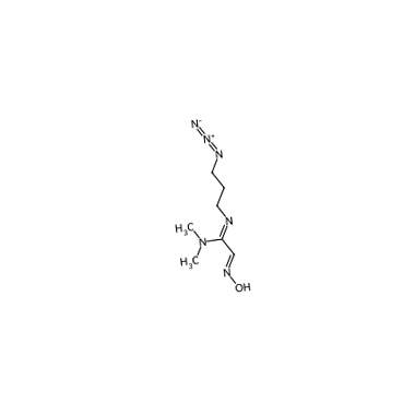 CN(C)C(/C=N/O)=N\CCCN=[N+]=[N-]